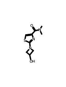 CN(C)C(=O)c1csc(N2CC(O)C2)n1